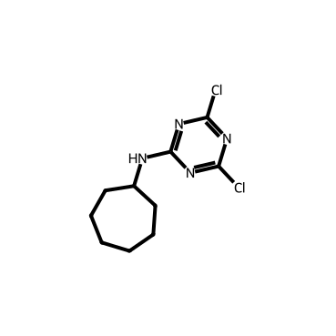 Clc1nc(Cl)nc(NC2CCCCCC2)n1